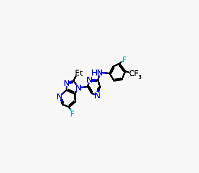 CCc1nc2ncc(F)cc2n1-c1cncc(Nc2ccc(C(F)(F)F)c(F)c2)n1